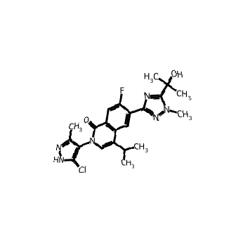 Cc1n[nH]c(Cl)c1-n1cc(C(C)C)c2cc(-c3nc(C(C)(C)O)n(C)n3)c(F)cc2c1=O